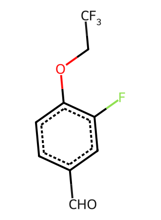 O=Cc1ccc(OCC(F)(F)F)c(F)c1